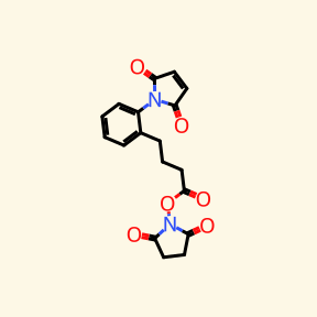 O=C(CCCc1ccccc1N1C(=O)C=CC1=O)ON1C(=O)CCC1=O